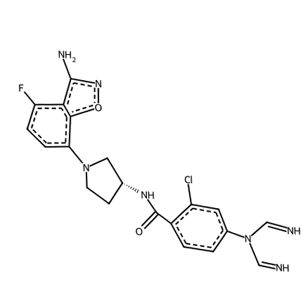 N=CN(C=N)c1ccc(C(=O)N[C@@H]2CCN(c3ccc(F)c4c(N)noc34)C2)c(Cl)c1